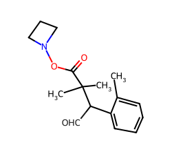 Cc1ccccc1C(C=O)C(C)(C)C(=O)ON1CCC1